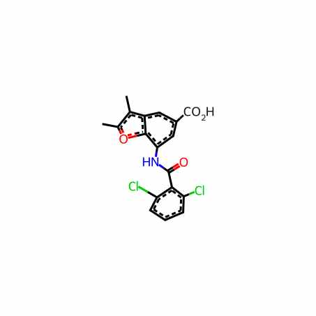 Cc1oc2c(NC(=O)c3c(Cl)cccc3Cl)cc(C(=O)O)cc2c1C